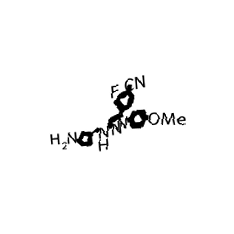 COc1ccc(-n2nc(NC[C@H]3CC[C@@H](N)C3)cc2-c2ccc(C#N)c(F)c2)cc1